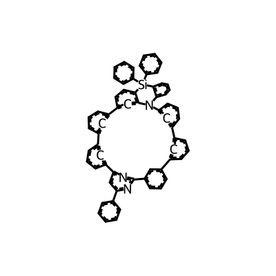 c1ccc(-c2cc3nc(n2)-c2cccc(c2)-c2cccc(c2)-c2cccc(c2)N2c4ccccc4[Si](c4ccccc4)(c4ccccc4)c4ccc(cc42)-c2cccc(c2)-c2cccc-3c2)cc1